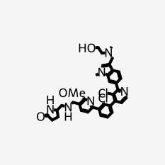 COc1nc(-c2cccc(-c3ccnc(-c4ccc5c(CN(C)CCO)cn(C)c5c4)c3Cl)c2Cl)ccc1CNCC1CCC(=O)N1